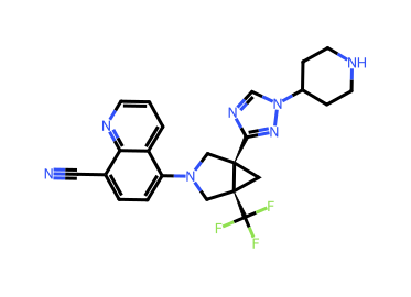 N#Cc1ccc(N2C[C@]3(c4ncn(C5CCNCC5)n4)C[C@]3(C(F)(F)F)C2)c2cccnc12